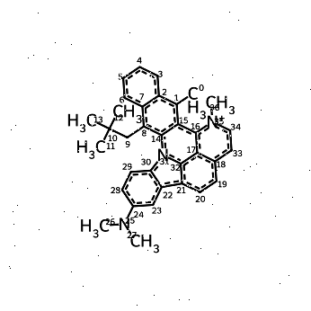 Cc1c2ccccc2c(CC(C)(C)C)c2c1c1c3c(ccc4c5cc(N(C)C)ccc5n2c43)cc[n+]1C